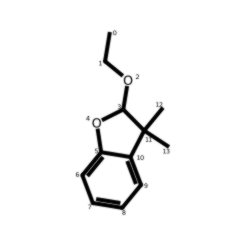 CCOC1Oc2ccccc2C1(C)C